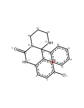 O=C1Nc2ccc(Cl)cc2C2(c3ccccc3)NCCCN12